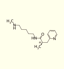 CNCCCCCNC(=O)[C@H](C)Cc1ccccn1